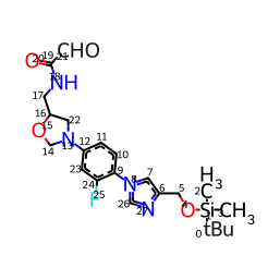 CC(C)(C)[Si](C)(C)OCc1cn(-c2ccc(N3COC(CNC(=O)C=O)C3)cc2F)cn1